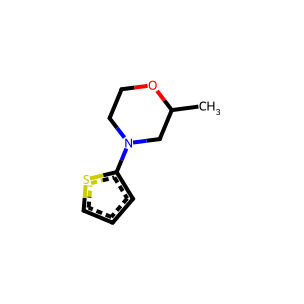 CC1CN(c2cccs2)CCO1